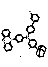 Fc1cccc(-c2ccc(N(c3ccc(N4c5ccccc5Sc5ccccc54)cc3)c3ccc(C45CC6CC(CC(C6)C4)C5)cc3)cc2)c1